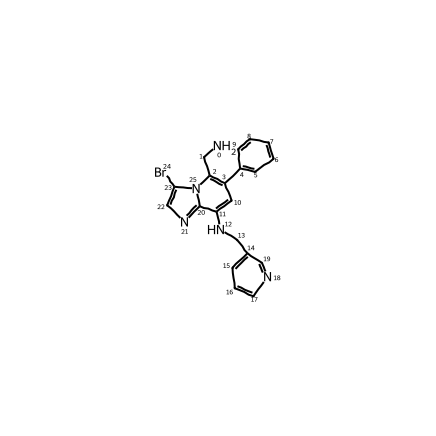 NCc1c(-c2ccccc2)cc(NCc2cccnc2)c2ncc(Br)n12